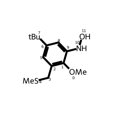 COc1c(CSC)cc(C(C)(C)C)cc1NO